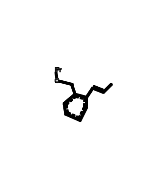 CC=Cc1ccccc1[C]OC(C)C